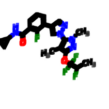 Cc1c(OC(F)(F)C(C)F)nn(C)c1-n1cc(-c2cccc(C(=O)NC3CC3)c2F)cn1